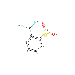 O=[SH](=O)c1ccccc1[C](F)F